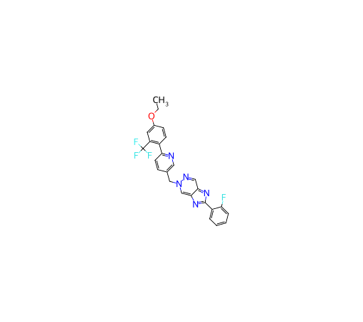 CCOc1ccc(-c2ccc(Cn3cc4nc(-c5ccccc5F)nc-4cn3)cn2)c(C(F)(F)F)c1